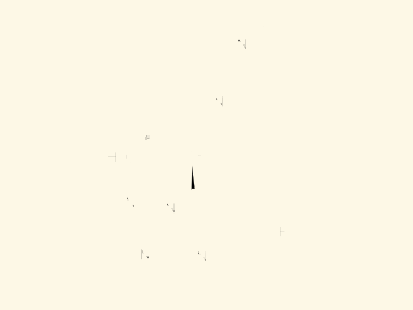 C[C@@H]1CCN(c2ccccn2)C[C@H]1c1cc(C(F)F)nc2ncnn12